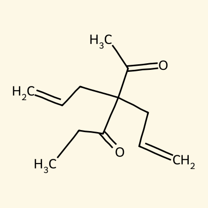 C=CCC(CC=C)(C(C)=O)C(=O)CC